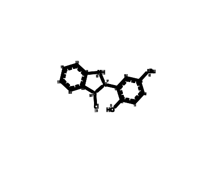 CC(C)(C)c1ccc(O)c(N2Nc3ccccc3N2Cl)c1